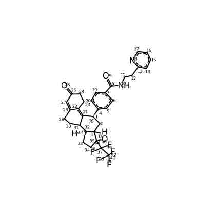 CC12C[C@H](c3ccc(C(=O)NCCc4ccccn4)cc3)C3=C4CCC(=O)C=C4CCC3[C@@H]1CC[C@@]2(O)C(F)(F)C(F)(F)F